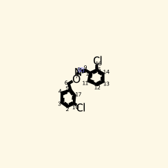 Clc1cccc(CO/N=[C]\c2ccccc2Cl)c1